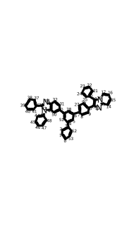 c1ccc(-c2cc(-c3ccc(-c4nc5ccccn5c4-c4ccccc4)cc3)cc(-c3ccc4nc(-c5ccccc5)n(-c5ccccc5)c4c3)c2)cc1